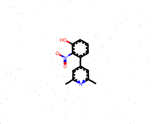 Cc1cc(-c2cccc(O)c2[N+](=O)[O-])cc(C)n1